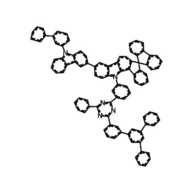 c1ccc(-c2cc(-c3ccccc3)cc(-c3cccc(-c4nc(-c5ccccc5)nc(-c5cccc(-n6c7ccc(-c8ccc9c(c8)c8ccccc8n9-c8cccc(-c9ccccc9)c8)cc7c7ccc8c(c76)-c6ccccc6C86c7ccccc7-c7ccccc76)c5)n4)c3)c2)cc1